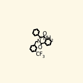 NC(=O)[C@@H](c1ccccc1)N(Cc1cccc(C(F)(F)F)c1)C(=O)c1ccccc1